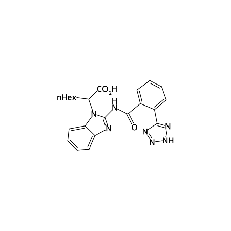 CCCCCCC(C(=O)O)n1c(NC(=O)c2ccccc2-c2nn[nH]n2)nc2ccccc21